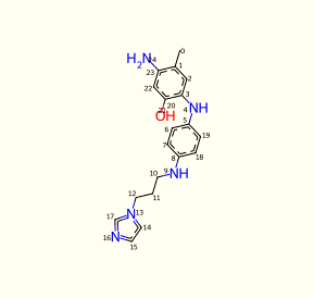 Cc1cc(Nc2ccc(NCCCn3ccnc3)cc2)c(O)cc1N